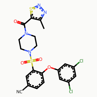 Cc1nnsc1C(=O)N1CCN(S(=O)(=O)c2cc(C#N)ccc2Oc2cc(Cl)cc(Cl)c2)CC1